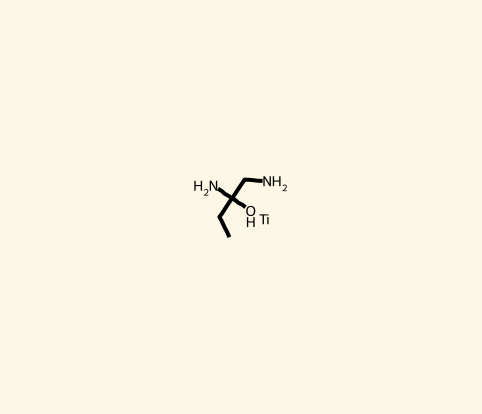 CCC(N)(O)CN.[Ti]